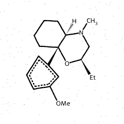 CC[C@@H]1CN(C)[C@@H]2CCCC[C@@]2(c2cccc(OC)c2)O1